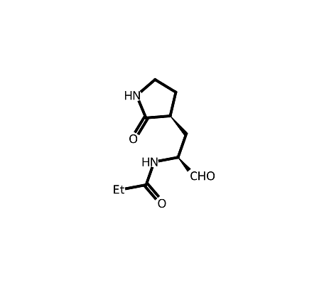 CCC(=O)N[C@H](C=O)C[C@@H]1CCNC1=O